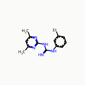 CCc1cccc(NC(=N)Nc2nc(C)cc(C)n2)c1